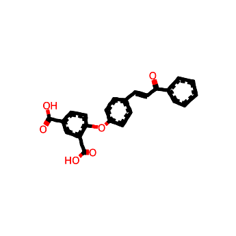 O=C(O)c1ccc(Oc2ccc(C=CC(=O)c3ccccc3)cc2)c(C(=O)O)c1